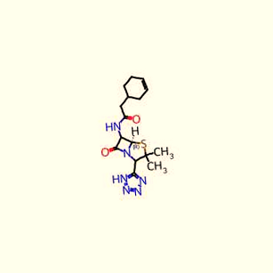 CC1(C)S[C@@H]2C(NC(=O)CC3CC=CCC3)C(=O)N2C1c1nnn[nH]1